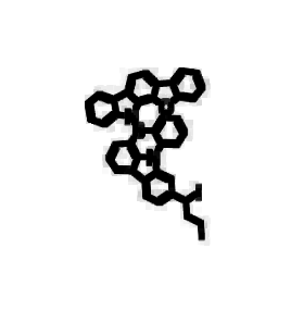 CCCC(I)c1ccc2c3cccc4c3n(c2c1)-c1ccccc1B4n1c2ccccc2c2ccc3c4ccccc4oc3c21